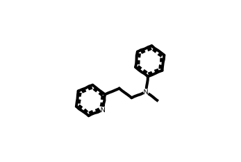 CN(C[CH]c1ccccn1)c1ccccc1